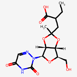 CCC(CC1(C)O[C@@H]2[C@H](O1)[C@@H](CO)O[C@H]2n1ncc(=O)[nH]c1=O)C(=O)O